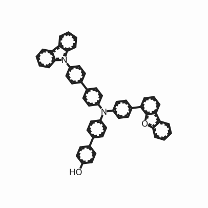 Oc1ccc(-c2ccc(N(c3ccc(-c4ccc(-n5c6ccccc6c6ccccc65)cc4)cc3)c3ccc(-c4cccc5c4oc4ccccc45)cc3)cc2)cc1